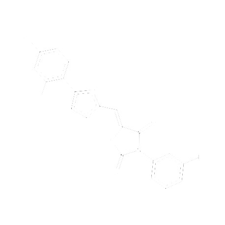 O=C1/C(=C/c2ccc(-c3ccc(Cl)cc3Cl)o2)SC(=S)N1c1cccc(F)c1